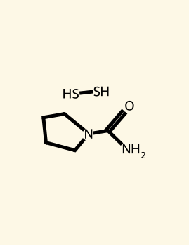 NC(=O)N1CCCC1.SS